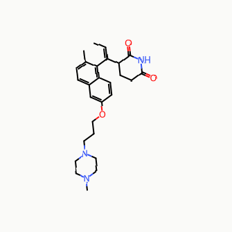 C/C=C(\c1c(C)ccc2cc(OCCCN3CCN(C)CC3)ccc12)C1CCC(=O)NC1=O